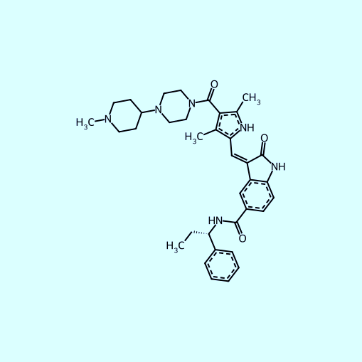 CC[C@H](NC(=O)c1ccc2c(c1)/C(=C/c1[nH]c(C)c(C(=O)N3CCN(C4CCN(C)CC4)CC3)c1C)C(=O)N2)c1ccccc1